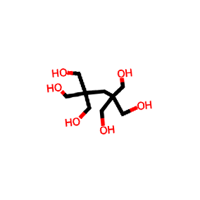 OCC(CO)(CO)CC(CO)(CO)CO